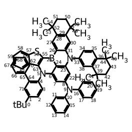 CC(C)(C)c1ccc(N2c3cc(N(c4ccccc4)c4ccccc4)cc4c3B(c3cc5c(cc3N4c3ccc4c(c3)C(C)(C)CCC4(C)C)C(C)(C)CCC5(C)C)c3sc4ccccc4c32)c(-c2ccccc2)c1